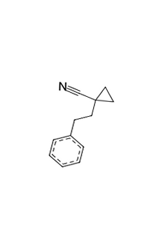 N#CC1(CCc2ccccc2)CC1